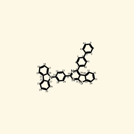 c1ccc(-c2ccc(-c3nc(-c4ccc(-n5c6ccccc6c6ccccc65)cc4)nc4sc5ccccc5c34)cc2)cc1